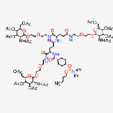 CC(=O)NC1C(OCCOCCNC(=O)CCC(NC(=O)CCC(NC(=O)[C@H]2CC[C@@H](OP(OCCCC#N)N(C(C)C)C(C)C)CC2)C(=O)NCCOCCOC2OC(COC(C)=O)C(OC(C)=O)C(OC(C)=O)C2NC(C)=O)C(=O)NCCOCCOC2OC(COC(C)=O)C(OC(C)=O)C(OC(C)=O)C2NC(C)=O)OC(COC(C)=O)C(OC(C)=O)C1OC(C)=O